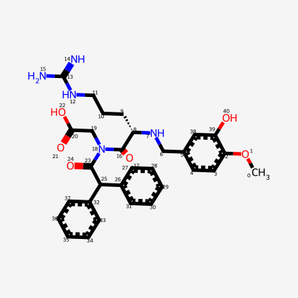 COc1ccc(CN[C@@H](CCCNC(=N)N)C(=O)N(CC(=O)O)C(=O)C(c2ccccc2)c2ccccc2)cc1O